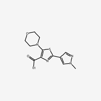 CCC(=O)c1nc(-c2cnn(C)c2)sc1N1CCOCC1